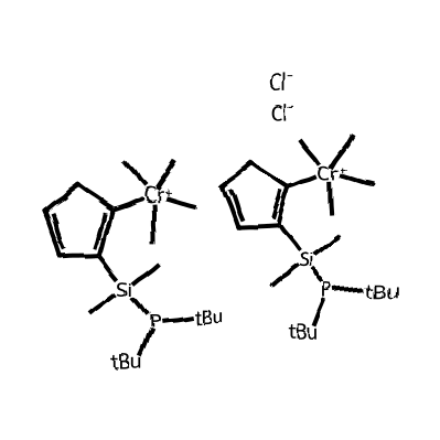 CC(C)(C)P(C(C)(C)C)[Si](C)(C)C1=[C]([Cr+]([CH3])([CH3])([CH3])[CH3])CC=C1.CC(C)(C)P(C(C)(C)C)[Si](C)(C)C1=[C]([Cr+]([CH3])([CH3])([CH3])[CH3])CC=C1.[Cl-].[Cl-]